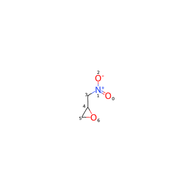 O=[N+]([O-])CC1CO1